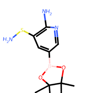 CC1(C)OB(c2cnc(N)c(SN)c2)OC1(C)C